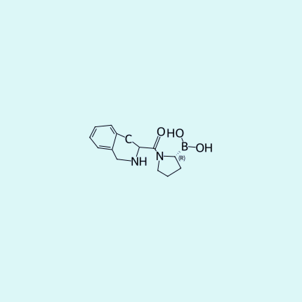 O=C(C1Cc2ccccc2CN1)N1CCC[C@H]1B(O)O